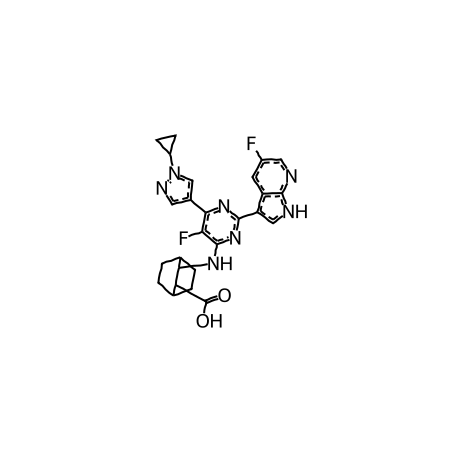 O=C(O)C1C2CCC(CC2)C1Nc1nc(-c2c[nH]c3ncc(F)cc23)nc(-c2cnn(C3CC3)c2)c1F